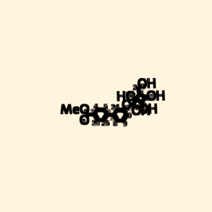 COC(=O)c1ccc(-c2cccc(OC(O)C3(O)C(O)C(O)C3CO)c2)cc1